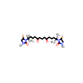 CCN1CC(=S)N(C(C)(C)CCCC(=O)CCCC(=O)CCCC(C)(C)N2C(=O)N(CC)CC2=S)C1=O